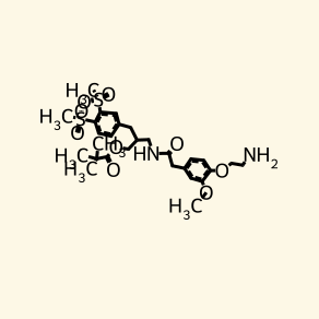 COc1cc(CC(=O)NCC(COC(=O)C(C)(C)C)Cc2ccc(S(C)(=O)=O)c(S(C)(=O)=O)c2)ccc1OCCN